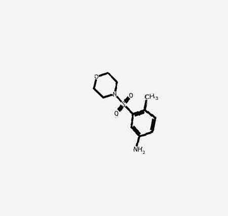 Cc1ccc(N)cc1S(=O)(=O)N1CCOCC1